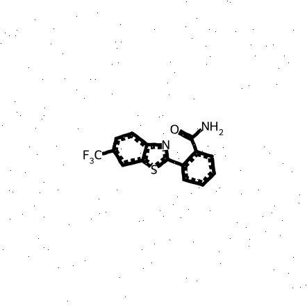 NC(=O)c1ccccc1-c1nc2ccc(C(F)(F)F)cc2s1